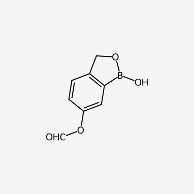 O=COc1ccc2c(c1)B(O)OC2